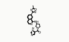 Cc1nc(-c2ccc3ccnc(NC4CCN(C(=O)c5cnc[nH]5)C4)c3c2)no1